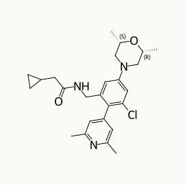 Cc1cc(-c2c(Cl)cc(N3C[C@@H](C)O[C@@H](C)C3)cc2CNC(=O)CC2CC2)cc(C)n1